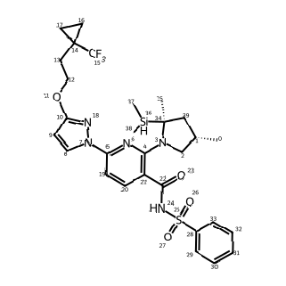 C[C@@H]1CN(c2nc(-n3ccc(OCCC4(C(F)(F)F)CC4)n3)ccc2C(=O)NS(=O)(=O)c2ccccc2)[C@@](C)([SiH](C)C)C1